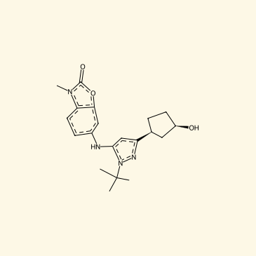 Cn1c(=O)oc2cc(Nc3cc([C@H]4CC[C@@H](O)C4)nn3C(C)(C)C)ccc21